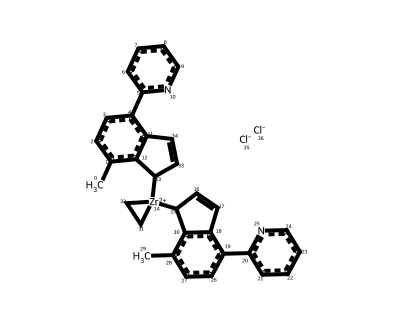 Cc1ccc(-c2ccccn2)c2c1[CH]([Zr+2]1([CH]3C=Cc4c(-c5ccccn5)ccc(C)c43)[CH2][CH2]1)C=C2.[Cl-].[Cl-]